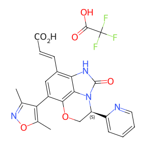 Cc1noc(C)c1-c1cc(C=CC(=O)O)c2[nH]c(=O)n3c2c1OC[C@@H]3c1ccccn1.O=C(O)C(F)(F)F